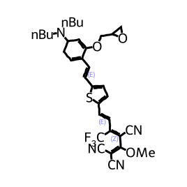 CCCCN(CCCC)C1C=C(OCC2CO2)C(/C=C/c2ccc(/C=C/C(=C(\C#N)C(OC)=C(C#N)C#N)C(F)(F)F)s2)=CC1